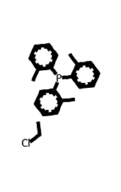 CCCl.Cc1ccccc1P(c1ccccc1C)c1ccccc1C